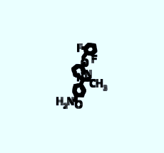 Cc1nc2c(OCc3c(F)cccc3F)cccn2c1-c1ccc(C(N)=O)cc1